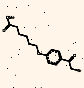 COC(=O)CCCCCOc1ccc(C(=O)CBr)cc1